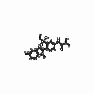 CCS(=O)(=O)c1cc(NC(=O)N(C)C)cnc1-c1nc2cc(C)cnc2n1C